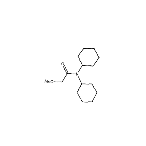 COCC(=O)N(C1CCCCC1)C1CCCCC1